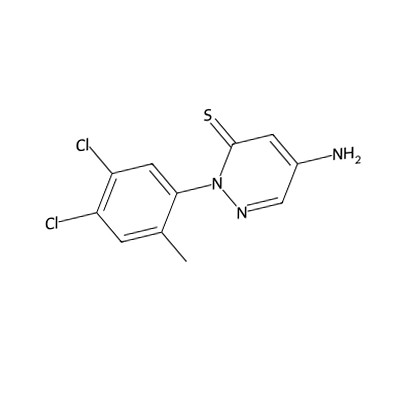 Cc1cc(Cl)c(Cl)cc1-n1ncc(N)cc1=S